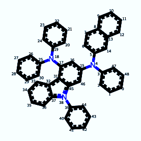 c1ccc(N(c2ccc3ccccc3c2)c2cc(N(c3ccccc3)c3ccccc3)c3c4ccccc4n(-c4ccccc4)c3c2)cc1